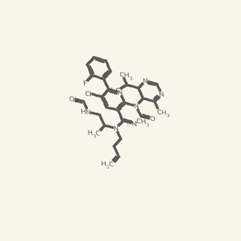 C=CCCN(/C(=N/C)c1cc(Cl)c(-c2ccccc2F)nc1N(C=O)C1C(C)=NC=NC1C(C)C)C(C)CNC=O